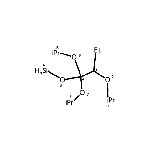 CCC(OC(C)C)C(O[SiH3])(OC(C)C)OC(C)C